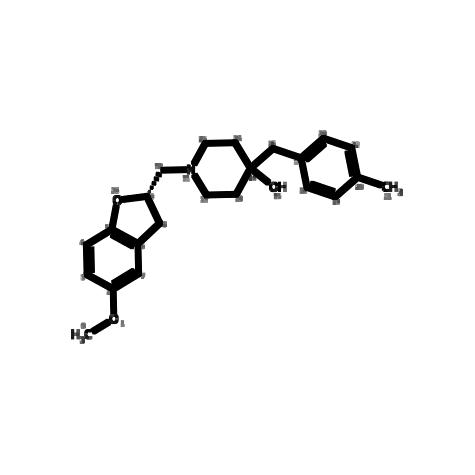 COc1ccc2c(c1)C[C@@H](CN1CCC(O)(Cc3ccc(C)cc3)CC1)O2